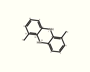 Cc1cccc2c1Nc1cccc(C)c1N2